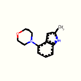 Cc1cc2c(N3CCOCC3)cccc2[nH]1